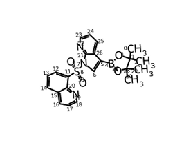 CC1(C)OB(c2cn(S(=O)(=O)c3cccc4cccnc34)c3ncccc23)OC1(C)C